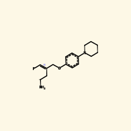 N[CH]C/C(=C\F)COc1ccc(N2CCCCC2)cc1